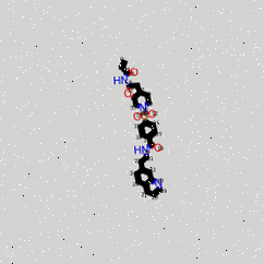 C=CC(=O)NC1CC2CCN(S(=O)(=O)c3ccc(C(=O)NCCc4ccc5cccnc5c4)cc3)CC2O1